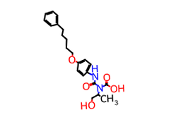 CC(CO)N(C(=O)O)C(=O)Nc1ccc(OCCCCCc2ccccc2)cc1